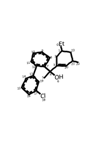 CCC1CC(C(C)(O)c2ccccc2-c2cccc(Cl)c2)=CC(C)C1